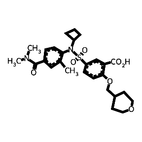 Cc1cc(C(=O)N(C)C)ccc1N(C1CCC1)S(=O)(=O)c1ccc(OCC2CCOCC2)c(C(=O)O)c1